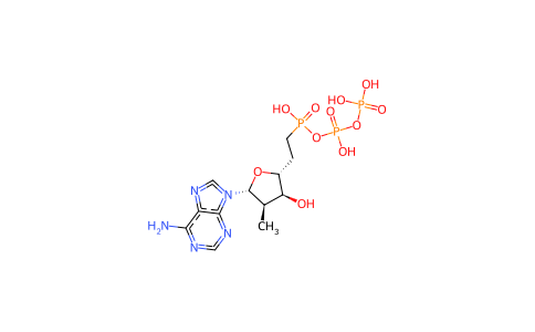 C[C@@H]1[C@H](O)[C@@H](CCP(=O)(O)OP(=O)(O)OP(=O)(O)O)O[C@H]1n1cnc2c(N)ncnc21